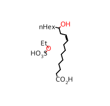 CCCCCCC(O)C/C=C\CCCCCCCC(=O)O.CCOS(=O)(=O)O